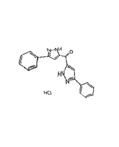 Cl.O=C(c1cc(-c2ccccc2)n[nH]1)c1cc(-c2ccccc2)n[nH]1